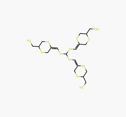 SCC1CSC(=CSC(SC=C2CSC(CS)CS2)SC=C2CSC(CS)CS2)CS1